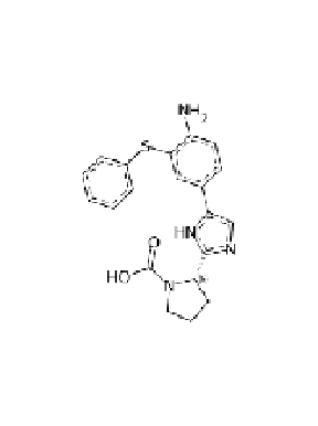 Nc1ccc(-c2cnc([C@@H]3CCCN3C(=O)O)[nH]2)cc1Sc1ccccc1